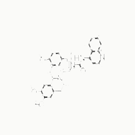 COc1ccc(OC)c(CC2c3cc(OC)c(OC)cc3CCN2CCNC(=O)Nc2ccnc3ccccc23)c1